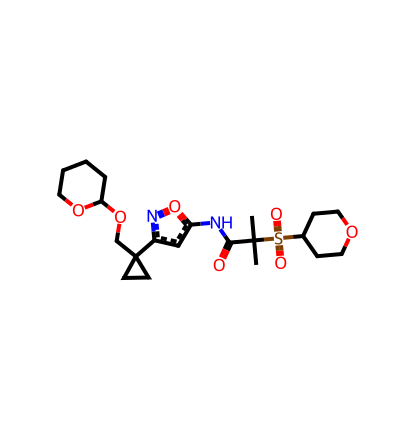 CC(C)(C(=O)Nc1cc(C2(COC3CCCCO3)CC2)no1)S(=O)(=O)C1CCOCC1